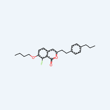 CCCCOc1ccc2cc(CCc3ccc(CCC)cc3)oc(=O)c2c1F